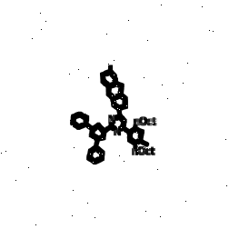 CCCCCCCCc1cc(-c2cc(-c3ccc4cc5cc(C)ccc5cc4c3)nc(-c3cc(-c4ccccc4)cc(-c4ccccc4)c3)n2)c(CCCCCCCC)cc1C